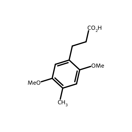 COc1cc(CCC(=O)O)c(OC)cc1C